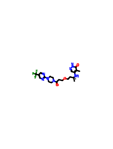 Cc1c(N[C@@H](C)CCOCCC(=O)N2CCN(c3ncc(C(F)(F)F)cn3)CC2)cn[nH]c1=O